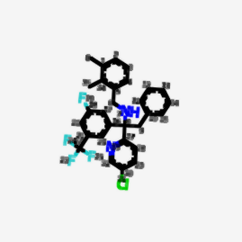 Cc1cccc(CNC(Cc2ccccc2)(c2cc(F)cc(C(F)(F)F)c2)c2ccc(Cl)cn2)c1C